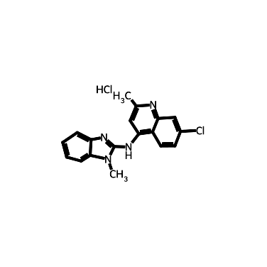 Cc1cc(Nc2nc3ccccc3n2C)c2ccc(Cl)cc2n1.Cl